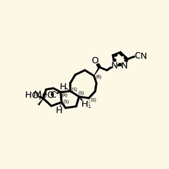 COC[C@]12CC[C@@](C)(O)C[C@@H]1CC[C@H]1[C@@H](C)CC[C@H](C(=O)Cn3ccc(C#N)n3)CCC[C@@H]12